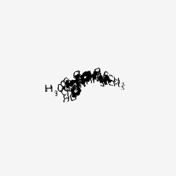 CC(C)(C)OC(=O)/C=C/c1c(N2CCC(O)CC2)nc2cc(C(=O)Nc3nc(C(C)(C)C)cs3)ccn2c1=O